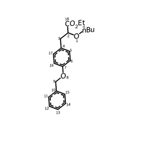 CCCCOC(Cc1ccc(OCc2ccccc2)cc1)C(=O)OCC